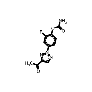 CC(=O)c1cnn(-c2ccc(OC(N)=O)c(F)c2)n1